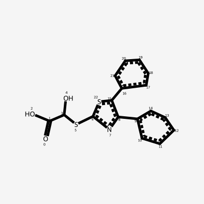 O=C(O)C(O)Sc1nc(-c2ccccc2)c(-c2ccccc2)s1